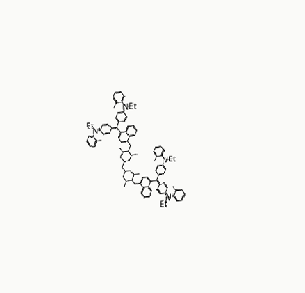 CCN(c1ccc(C(=C2C=CC(=[N+](CC)c3ccccc3C)C=C2)c2ccc(CC3C(C)CC(CC4CC(C)C(Cc5ccc(C(=C6C=CC(=[N+](CC)c7ccccc7C)C=C6)c6ccc(N(CC)c7ccccc7C)cc6)c6ccccc56)C(C)C4)CC3C)c3ccccc23)cc1)c1ccccc1C